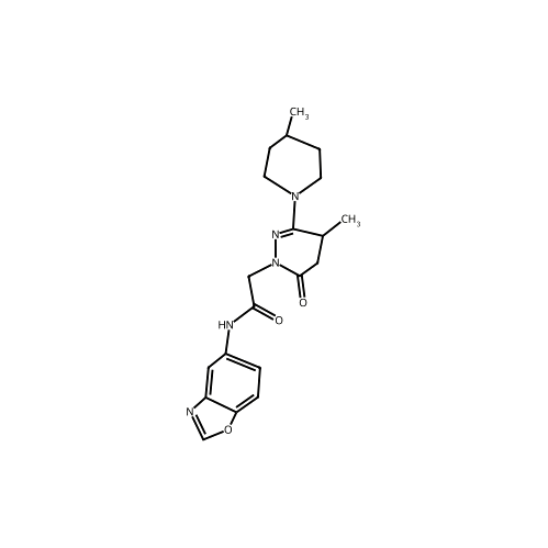 CC1CCN(C2=NN(CC(=O)Nc3ccc4ocnc4c3)C(=O)CC2C)CC1